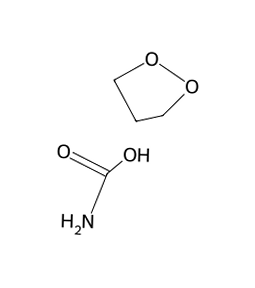 C1COOC1.NC(=O)O